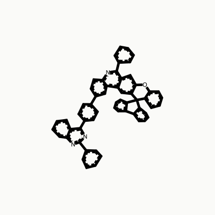 c1ccc(-c2nc(-c3ccc(-c4ccc5nc(-c6ccccc6)c6cc7c(cc6c5c4)C4(c5ccccc5O7)c5ccccc5-c5ccccc54)cc3)c3ccccc3n2)cc1